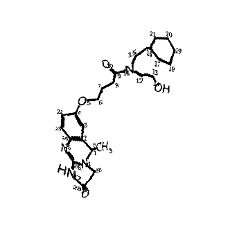 CC1c2cc(OCCCC(=O)N(CCO)CC3CCCCC3)ccc2N=C2NC(=O)CN21